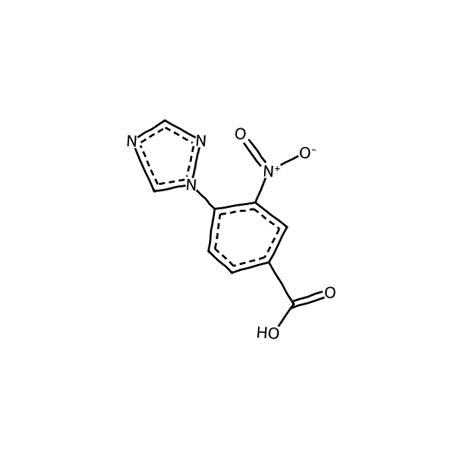 O=C(O)c1ccc(-n2cncn2)c([N+](=O)[O-])c1